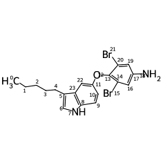 CCCCCc1c[nH]c2ccc(Oc3c(Br)cc(N)cc3Br)cc12